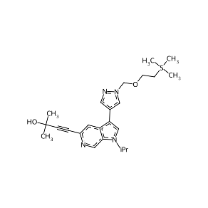 CC(C)n1cc(-c2cnn(COCCS(C)(C)C)c2)c2cc(C#CC(C)(C)O)ncc21